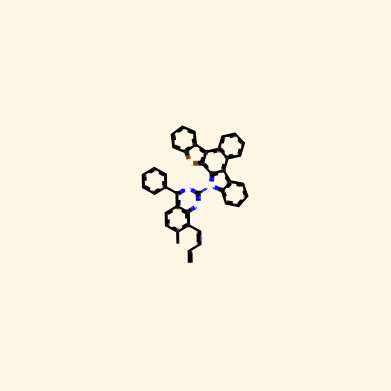 C=C/C=C\c1c(C)ccc2c(-c3ccccc3)nc(-n3c4ccccc4c4c5ccccc5c5c6ccccc6sc5c43)nc12